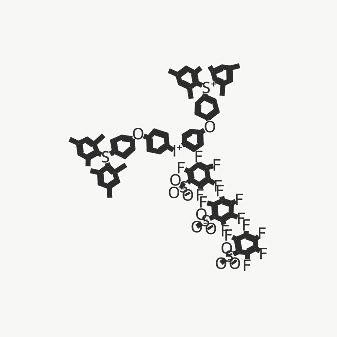 Cc1cc(C)c([S+](c2ccc(Oc3ccc([I+]c4ccc(Oc5ccc([S+](c6c(C)cc(C)cc6C)c6c(C)cc(C)cc6C)cc5)cc4)cc3)cc2)c2c(C)cc(C)cc2C)c(C)c1.O=S(=O)([O-])c1c(F)c(F)c(F)c(F)c1F.O=S(=O)([O-])c1c(F)c(F)c(F)c(F)c1F.O=S(=O)([O-])c1c(F)c(F)c(F)c(F)c1F